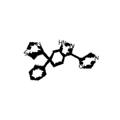 C1=CC(c2ccccc2)(c2cscn2)Cc2[nH]nc(-c3cnco3)c21